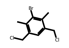 Cc1c(CCl)cc(CCl)c(C)c1Br